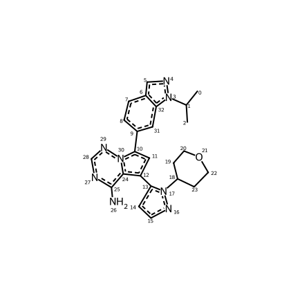 CC(C)n1ncc2ccc(-c3cc(-c4ccnn4C4CCOCC4)c4c(N)ncnn34)cc21